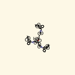 CC(C)(C)OC(=O)n1cc(/C=C/C(=O)OCCCNC(=O)C(OC(=O)/C=C/c2cn(C(=O)OC(C)(C)C)c3ccccc23)C(C)(C)COC(=O)/C=C/c2cn(C(=O)OC(C)(C)C)c3ccccc23)c2ccccc21